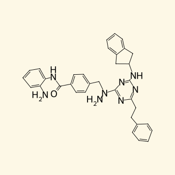 Nc1ccccc1NC(=O)c1ccc(CN(N)c2nc(CCc3ccccc3)nc(NC3Cc4ccccc4C3)n2)cc1